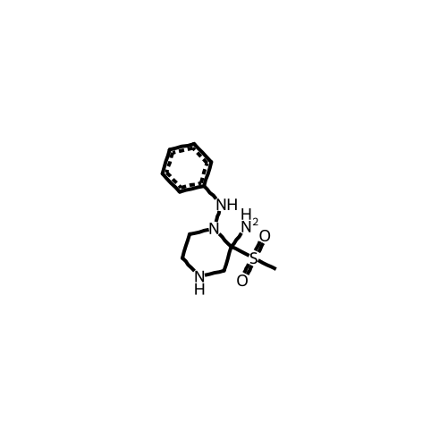 CS(=O)(=O)C1(N)CNCCN1Nc1ccccc1